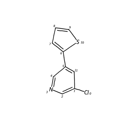 Clc1cn[c]c(-c2cccs2)c1